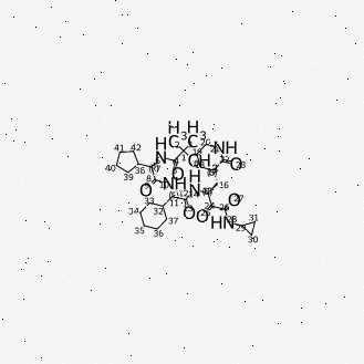 CC(C)(C)C(=O)N[C@@H](C(=O)N[C@H](C(=O)N[C@@H](C[C@@H]1CCCNC1=O)C(=O)C(=O)NC1CC1)C1CCCCC1)C1CCCC1